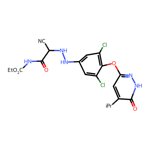 CCOC(=O)NC(=O)C(C#N)NNc1cc(Cl)c(Oc2cc(C(C)C)c(=O)[nH]n2)c(Cl)c1